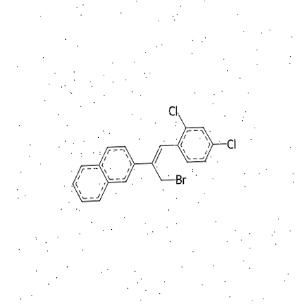 Clc1ccc(/C=C(\CBr)c2ccc3ccccc3c2)c(Cl)c1